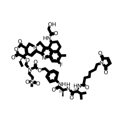 CC[C@]1(OCN(CCS(C)(=O)=O)C(=O)OCc2ccc(NC(=O)[C@H](C)NC(=O)[C@@H](NC(=O)CCCCCN3C(=O)C=CC3=O)C(C)C)cc2)C(=O)OC(=O)C2=C1C=C1c3nc4cc(F)c(C)c5c4c(c3CN1C2)C(NC(=O)CO)CC5